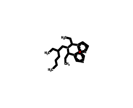 CCCCC(CC)CN(C(CC)n1ccnc1)C(CC)n1ccnc1